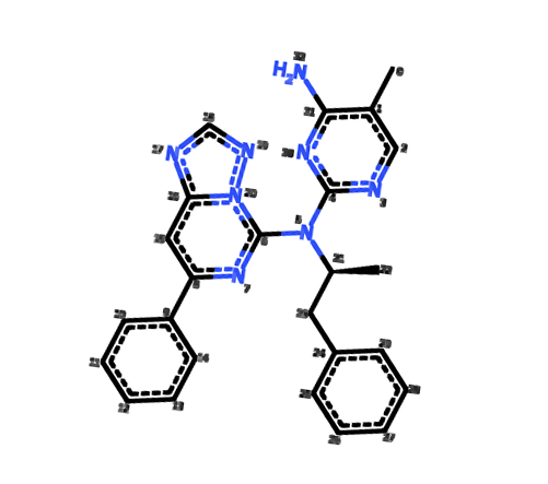 Cc1cnc(N(c2nc(-c3ccccc3)cc3ncnn23)[C@@H](C)Cc2ccccc2)nc1N